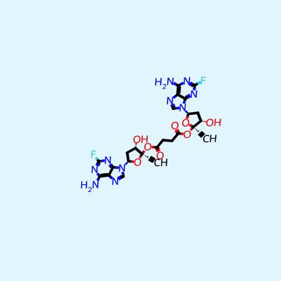 C#C[C@]1(OC(=O)CCC(=O)O[C@@]2(C#C)O[C@@H](n3cnc4c(N)nc(F)nc43)C[C@@H]2O)O[C@@H](n2cnc3c(N)nc(F)nc32)C[C@@H]1O